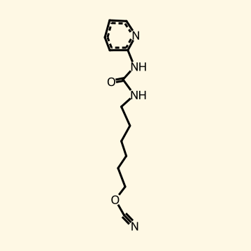 N#COCCCCCCNC(=O)Nc1ccccn1